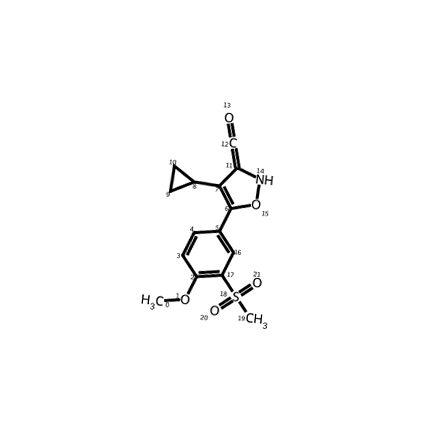 COc1ccc(C2=C(C3CC3)C(=C=O)NO2)cc1S(C)(=O)=O